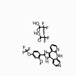 COc1cc(OC(F)(F)F)ccc1-c1nc2c([nH]1)-c1ccncc1Nc1ncccc1-2.O=C(O)C(F)(F)F.O=C(O)C(F)(F)F